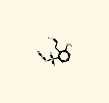 C=CCc1c([SiH3])cccc1S(=O)(=O)N=[N+]=[N-]